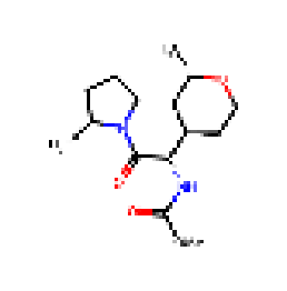 COC(=O)N[C@H](C(=O)N1CCC[C@@H]1C)[C@@H]1CCO[C@@H](C)C1